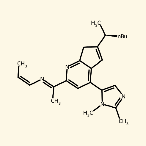 C/C=C\N=C(/C)c1cc(-c2cnc(C)n2C)c2c(n1)CC([C@@H](C)CCCC)=C2